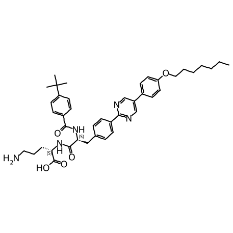 CCCCCCCOc1ccc(-c2cnc(-c3ccc(C[C@H](NC(=O)c4ccc(C(C)(C)C)cc4)C(=O)N[C@@H](CCCN)C(=O)O)cc3)nc2)cc1